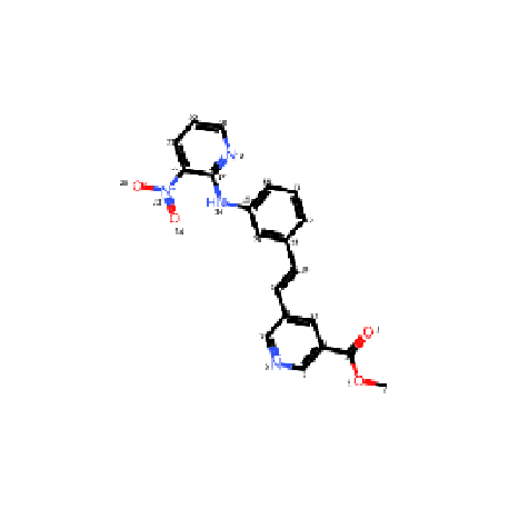 COC(=O)c1cncc(C=Cc2cccc(Nc3ncccc3[N+](=O)[O-])c2)c1